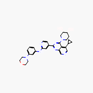 O[C@@H]1CCN(c2nc(-c3ccnc(Nc4cccc(N5CCOCC5)c4)c3)nc3cncc(C4CC4)c23)C[C@@H]1O